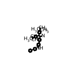 CC(C)(C)c1ccc(C(=C(C#N)c2ccc(-c3ccc(Nc4ccc(-c5ccccc5)cc4)cc3)cc2)c2ccc(C(C)(C)C)cc2)cc1